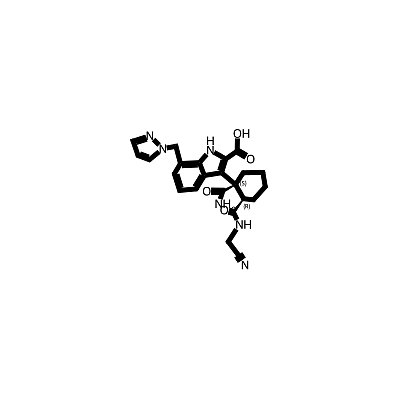 N#CCNC(=O)[C@@H]1CCCC[C@@]1(C(N)=O)c1c(C(=O)O)[nH]c2c(Cn3cccn3)cccc12